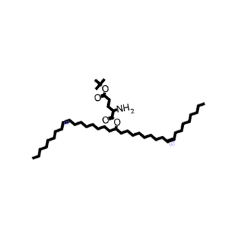 CCCCCCCC/C=C\CCCCCCCCC(CCCCCCC/C=C\CCCCCCCC)OC(=O)C(N)CCC(=O)OC(C)(C)C